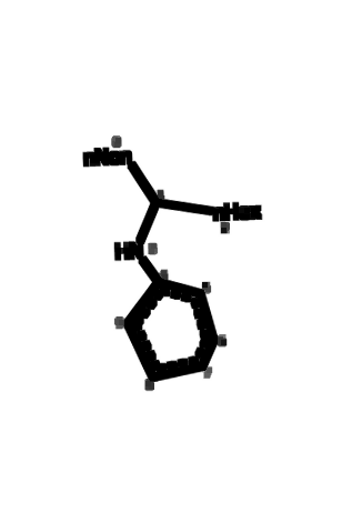 CCCCCCCCCC(CCCCCC)Nc1ccccc1